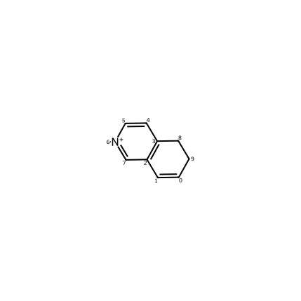 C1=CC2=C(C=C[N+]=C2)CC1